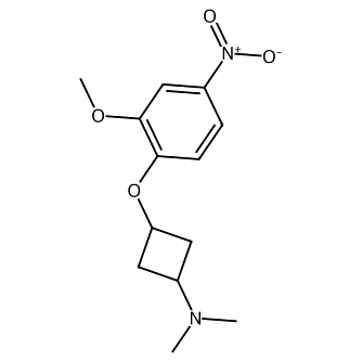 COc1cc([N+](=O)[O-])ccc1OC1CC(N(C)C)C1